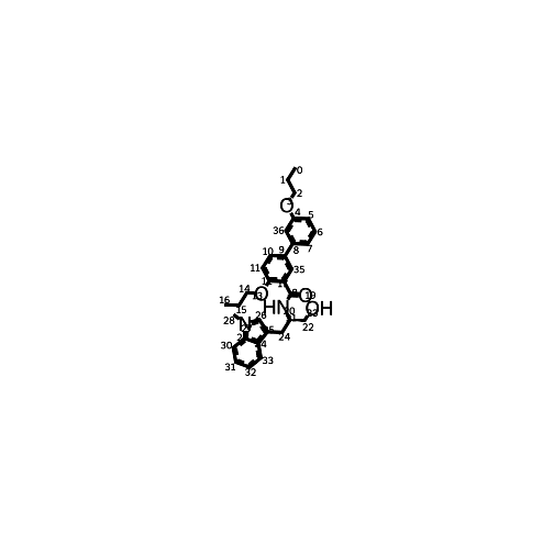 CCCOc1cccc(-c2ccc(OCCC)c(C(=O)N[C@@H](CO)Cc3cn(C)c4ccccc34)c2)c1